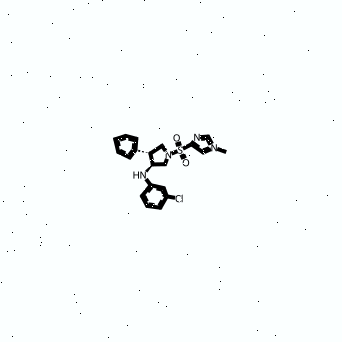 Cn1cnc(S(=O)(=O)N2C[C@@H](Nc3cccc(Cl)c3)[C@H](c3ccccc3)C2)c1